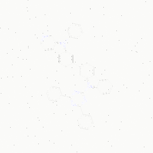 c1ccc(-c2nc(-c3ccccc3)nc(-n3c4ccccc4c4ccc(-c5ccc6c7ccncc7n(-c7ccccc7)c6c5)cc43)n2)cc1